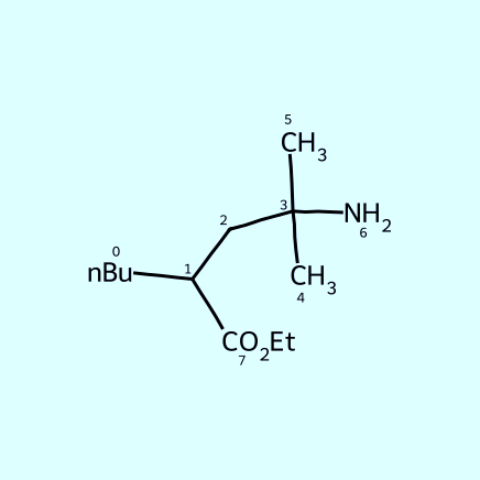 CCCCC(CC(C)(C)N)C(=O)OCC